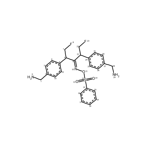 NCc1ccc(C(CF)C(=NOS(=O)(=O)c2ccccc2)C(CF)c2ccc(CN)cc2)cc1